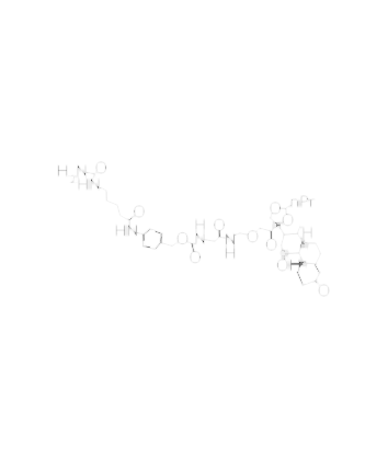 CCCC1OC[C@](C(=O)COCNC(=O)CNC(=O)OCc2ccc(NC(=O)CCCCNC(N)=O)cc2)(C2C[C@H](O)C3[C@@H](CCC4=CC(=O)C=C[C@@]43C)C2C)O1